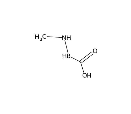 CNBC(=O)O